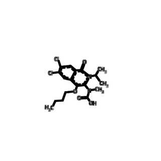 CCCCOc1c(N(C)C(=O)O)n(C(C)C)c(=O)c2cc(Cl)c(Cl)cc12